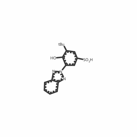 CC(C)(C)c1cc(S(=O)(=O)O)cc(-n2nc3ccccc3n2)c1O